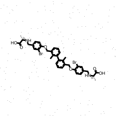 Cc1c(COc2ccc(CN[C@@H](C)C(=O)O)cc2Br)cccc1-c1cccc(COc2ccc(CN[C@@H](C)C(=O)O)cc2Br)c1C